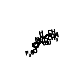 CC(C)(O)CC(=O)Nc1nc2ccc(OC(F)(F)F)cc2n1C(C)(C)C